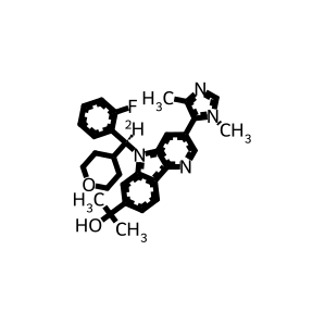 [2H][C@@](c1ccccc1F)(C1CCOCC1)n1c2cc(C(C)(C)O)ccc2c2ncc(-c3c(C)ncn3C)cc21